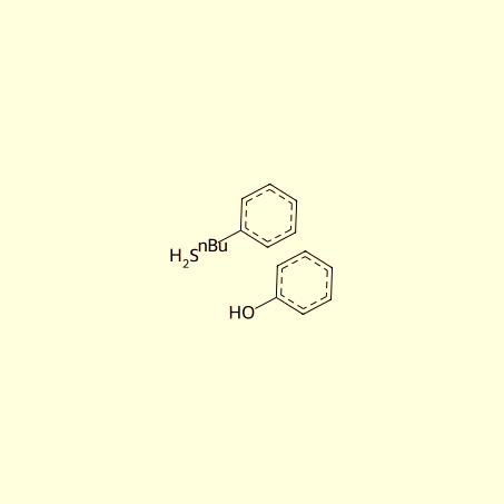 CCCCc1ccccc1.Oc1ccccc1.S